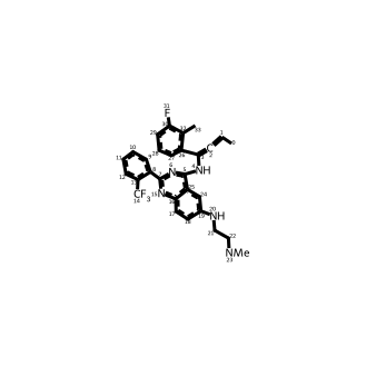 CC=C=C(Nc1nc(-c2ccccc2C(F)(F)F)nc2ccc(NCCNC)cc12)c1cccc(F)c1C